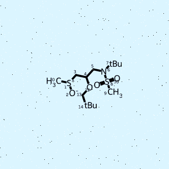 C[S+]([O-])CC(CN(C(C)(C)C)S(C)(=O)=O)OCC(C)(C)C